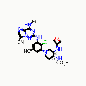 CCNc1nc(Nc2cc(C#N)cc(N3CC[C@@H](NC(=O)O)[C@H](NC4COC4)C3)c2Cl)nn2c(C#N)cnc12